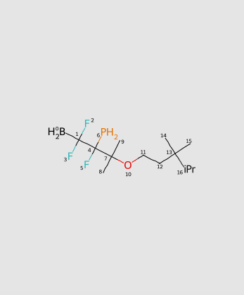 BC(F)(F)C(F)(P)C(C)(C)OCCC(C)(C)C(C)C